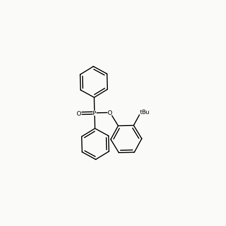 CC(C)(C)c1ccccc1OP(=O)(c1ccccc1)c1ccccc1